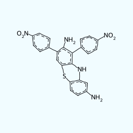 Nc1ccc2c(c1)Nc1c(cc(-c3ccc([N+](=O)[O-])cc3)c(N)c1-c1ccc([N+](=O)[O-])cc1)S2